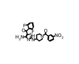 Nc1nc(NC2CCN(C(=O)c3cccc([N+](=O)[O-])c3)CC2)sc1C(=O)c1c(F)cccc1F